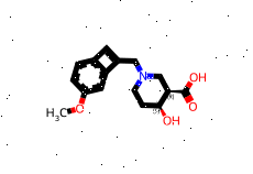 COc1ccc2c(c1)C(CN1CC[C@H](O)[C@H](C(=O)O)C1)=C2